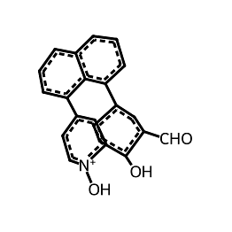 O=Cc1cc(-c2cccc3cccc(-c4cc[n+](O)cc4)c23)ccc1O